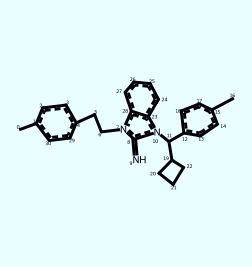 Cc1ccc(CCn2c(=N)n(C(c3ccc(C)cc3)C3CCC3)c3ccccc32)cc1